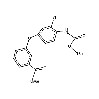 COC(=O)c1cccc(Oc2ccc(NC(=O)OC(C)(C)C)c(Cl)c2)c1